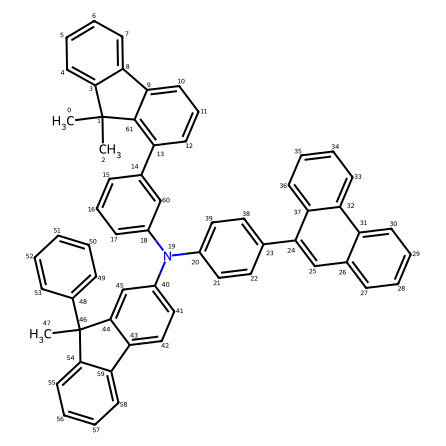 CC1(C)c2ccccc2-c2cccc(-c3cccc(N(c4ccc(-c5cc6ccccc6c6ccccc56)cc4)c4ccc5c(c4)C(C)(c4ccccc4)c4ccccc4-5)c3)c21